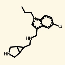 CCCn1cc(CNCC2C3CNCC23)c2cc(Cl)ccc21